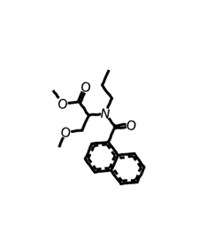 CCCN(C(=O)c1cccc2ccccc12)C(COC)C(=O)OC